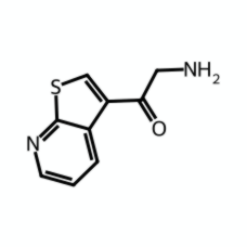 NCC(=O)c1csc2ncccc12